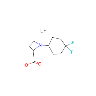 O=C(O)C1CCN1C1CCC(F)(F)CC1.[LiH]